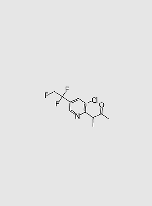 CC(=O)C(C)c1ncc(C(F)(F)CF)cc1Cl